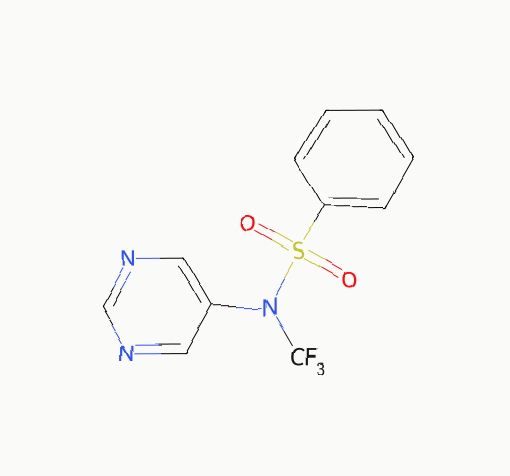 O=S(=O)(c1ccccc1)N(c1cncnc1)C(F)(F)F